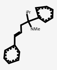 CNC(CC=Cc1ccccc1)(c1ccccc1)C(C)C